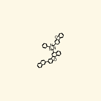 C1=c2oc3ccccc3c2=CCC1c1nc(-c2ccccc2)nc(-c2cc3c4cc(-c5ccc6ccccc6c5)ccc4oc3c3ccccc23)n1